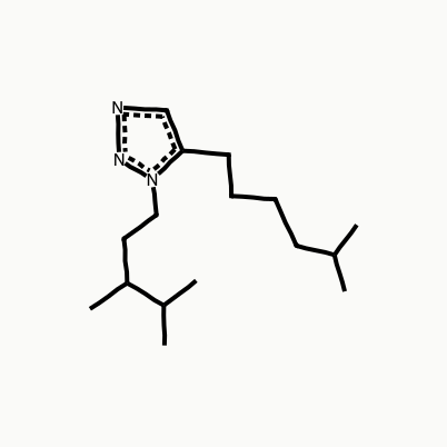 CC(C)CCCCc1cnnn1CCC(C)C(C)C